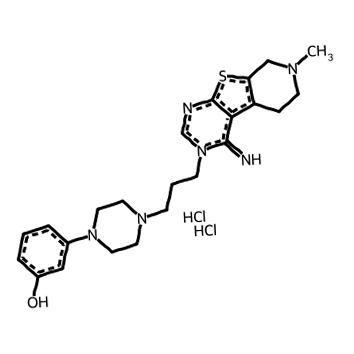 CN1CCc2c(sc3ncn(CCCN4CCN(c5cccc(O)c5)CC4)c(=N)c23)C1.Cl.Cl